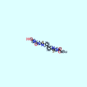 Cc1c(-c2nc3c(s2)CN(C(=O)CN2CC[C@@H](O)C2)C3)cccc1-c1cccc(-c2nc3c(s2)CN(C(=O)OC(C)(C)C)C3)c1C